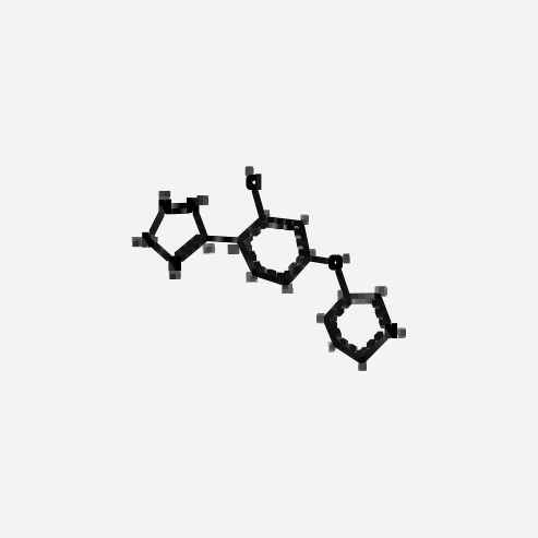 Clc1cc(Oc2cccnc2)ccc1C1=N[N]N=N1